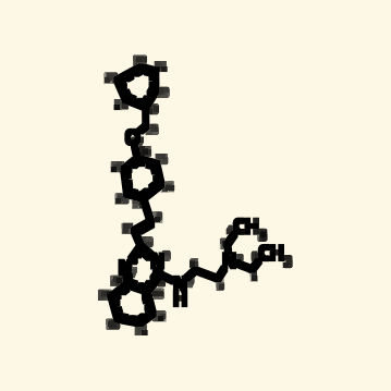 CCN(CC)CCNc1nc(C=Cc2ccc(OCc3ccccc3)cc2)nc2ccccc12